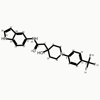 O=C(CC1(O)CCN(c2ccc(C(F)(F)F)cc2)CC1)Nc1ccc2[nH]ccc2c1